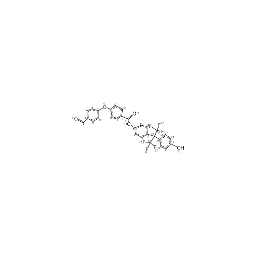 O=Cc1ccc(Oc2ccc(C(=O)Oc3ccc(C(c4ccc(O)cc4)(C(F)(F)F)C(F)(F)F)cc3)cc2)cc1